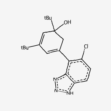 CC(C)(C)C1=CC(O)(C(C)(C)C)CC(c2c(Cl)ccc3[nH]nnc23)=C1